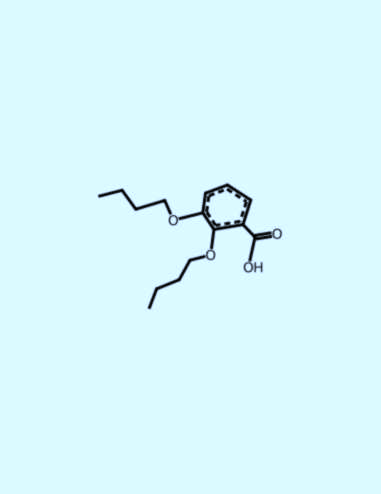 CCCCOc1cccc(C(=O)O)c1OCCCC